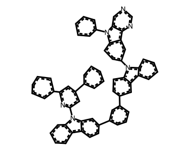 c1ccc(-c2cc(-c3ccccc3)nc(-n3c4ccccc4c4ccc(-c5cccc(-c6ccc7c(c6)c6ccccc6n7-c6ccc7c(c6)c6ncncc6n7-c6ccccc6)c5)cc43)c2)cc1